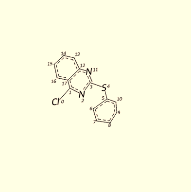 Clc1nc(Sc2ccccc2)nc2ccccc12